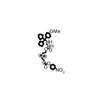 COc1ccc(C(NCNC(=O)OCCS(=O)(=O)CCOC(=O)Oc2ccc([N+](=O)[O-])cc2)(c2ccccc2)c2ccccc2)cc1